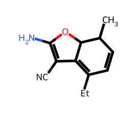 CCC1=C2C(C#N)=C(N)OC2C(C)C=C1